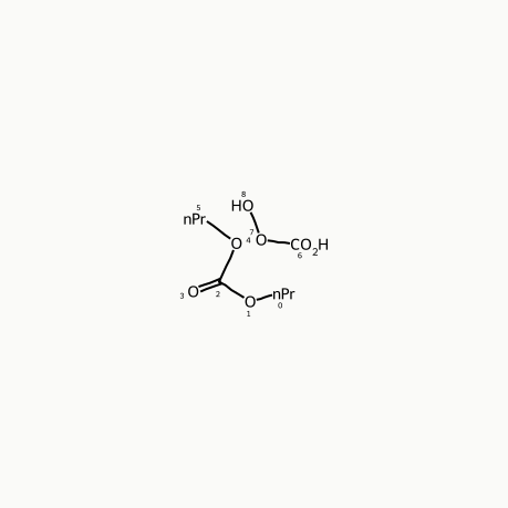 CCCOC(=O)OCCC.O=C(O)OO